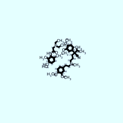 CCN(CC)CC(=O)Nc1c(C)cccc1C.COc1ccc(CCN(C)CCCC(C#N)(c2ccc(OC)c(OC)c2)C(C)C)cc1OC.Cl.Cl